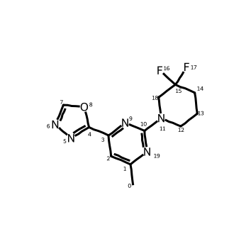 Cc1cc(-c2nnco2)nc(N2CCCC(F)(F)C2)n1